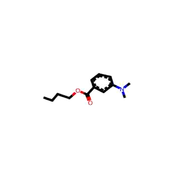 CCCCOC(=O)c1cccc(N(C)C)c1